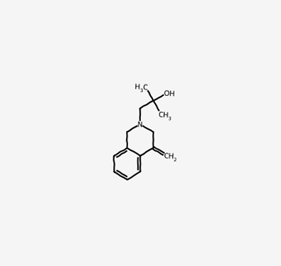 C=C1CN(CC(C)(C)O)Cc2ccccc21